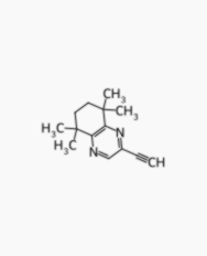 C#Cc1cnc2c(n1)C(C)(C)CCC2(C)C